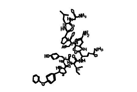 CC[C@H](C)C(NC(=O)[C@H](Cc1ccc(O)cc1)NC(=O)C1CSC(c2ccc(Oc3ccccc3)cc2)N1)C(=O)NC(CCC(N)=O)C(=O)NC(CC(N)=O)C(=O)N[C@@H](CS)C(=O)N1CCCC1C(=O)N[C@@H](CC(C)C)C(=O)NCC(N)=O